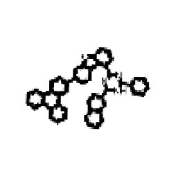 c1ccc(C2=NC(c3cccc4oc5cc(-c6ccc7c8ccccc8c8ccccc8c7c6)ccc5c34)=NC(c3ccc4ccccc4c3)N2)cc1